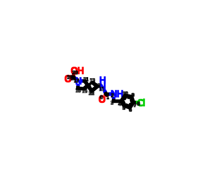 O=C(NCc1ccc(Cl)cc1)N[C@H]1C[C@]2(CCN(C(=O)O)C2)C1